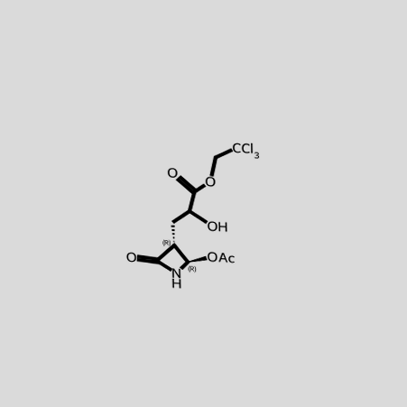 CC(=O)O[C@H]1NC(=O)[C@@H]1CC(O)C(=O)OCC(Cl)(Cl)Cl